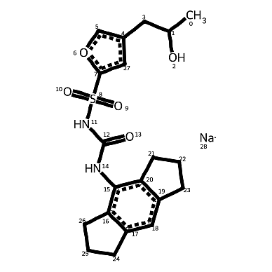 CC(O)Cc1coc(S(=O)(=O)NC(=O)Nc2c3c(cc4c2CCC4)CCC3)c1.[Na]